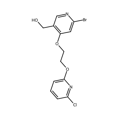 OCc1cnc(Br)cc1OCCOc1cccc(Cl)n1